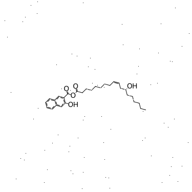 CCCCCC[C@@H](O)C/C=C\CCCCCCCC(=O)OC(=O)c1cc2ccccc2cc1O